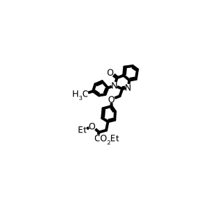 CCOC(=O)C(Cc1ccc(OCc2nc3ccccc3c(=O)n2-c2ccc(C)cc2)cc1)OCC